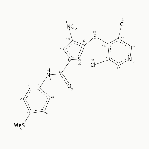 CSc1ccc(NC(=O)c2cc([N+](=O)[O-])c(Sc3c(Cl)cncc3Cl)s2)cc1